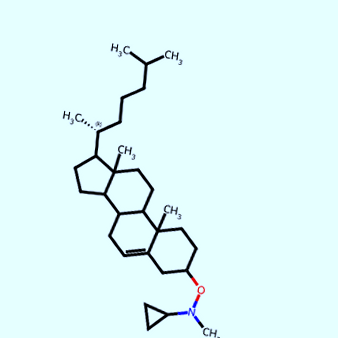 CC(C)CCC[C@@H](C)C1CCC2C3CC=C4CC(ON(C)C5CC5)CCC4(C)C3CCC21C